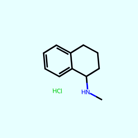 CNC1CCCc2ccccc21.Cl